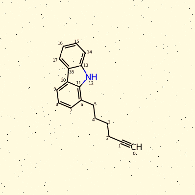 C#CCCCCc1cccc2c1[nH]c1ccccc12